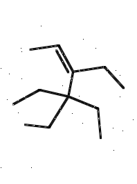 CC=C(CC)C(CC)(CC)CC